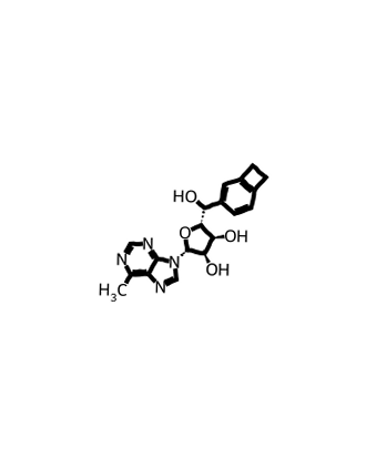 Cc1ncnc2c1ncn2[C@@H]1O[C@H](C(O)c2ccc3c(c2)CC3)[C@@H](O)[C@H]1O